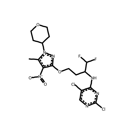 Cc1c([N+](=O)[O-])c(OCCC(Nc2nc(Cl)ncc2Cl)C(F)F)nn1C1CCOCC1